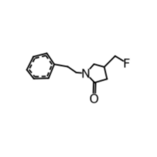 O=C1CC(CF)CN1CCc1ccccc1